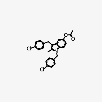 CC(=O)Oc1ccc2c(c1)c(Cc1ccc(Cl)cc1)c(C)n2Cc1ccc(Cl)cc1